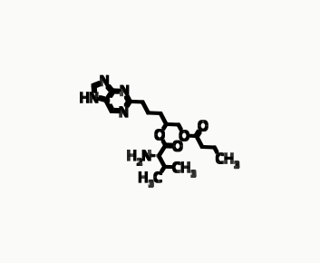 CCCC(=O)OCC(CCCc1ncc2[nH]cnc2n1)OC(=O)[C@@H](N)C(C)C